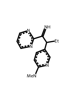 CCC(C(=N)c1ncccn1)c1ccc(NC)nc1